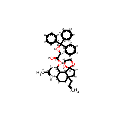 C=CCC12CCCC([C@H](CC(=C)C)OC(=O)COC(c3ccccc3)(c3ccccc3)c3ccccc3)C1C1(CC2)OCCO1